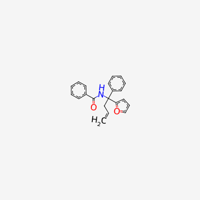 C=CCC(NC(=O)c1ccccc1)(c1ccccc1)c1ccco1